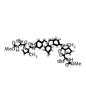 COC(=O)NC(C(=O)N1CCC(C)[C@H]1C(=O)Nc1ccc(CN(Cc2ccc(NC(=O)C3[C@@H](C)CCN3C(=O)[C@@H](NC(=O)OC)C(C)(C)C)cc2)c2ccc(F)cc2)cc1)C(C)(C)C